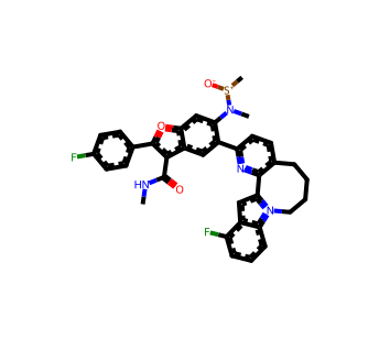 CNC(=O)c1c(-c2ccc(F)cc2)oc2cc(N(C)[S+](C)[O-])c(-c3ccc4c(n3)-c3cc5c(F)cccc5n3CCCC4)cc12